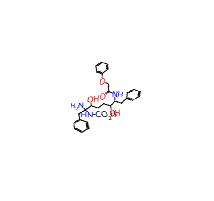 NC(Cc1ccccc1)(NC(=O)O)C(O)CCC(O)C(Cc1ccccc1)NC(=O)COc1ccccc1